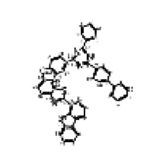 c1ccc(-c2ccc(-c3nc(-c4ccccc4)nc(-c4ccc5oc6ccc7nc(-c8cccc9c8sc8ccccc89)sc7c6c5c4)n3)cc2)cc1